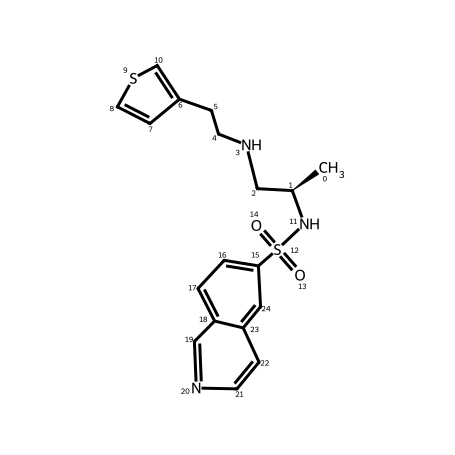 C[C@H](CNCCc1ccsc1)NS(=O)(=O)c1ccc2cnccc2c1